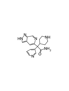 NC(=O)C(c1cccnc1)(c1cc2c[nH]nc2cn1)C1CCNCC1